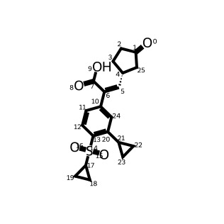 O=C1CC[C@@H](C=C(C(=O)O)c2ccc(S(=O)(=O)C3CC3)c(C3CC3)c2)C1